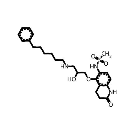 CS(=O)(=O)Nc1ccc2c(c1OCC(O)CNCCCCCCc1ccccc1)CCC(=O)N2